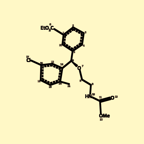 CCOC(=O)c1cccc([C@@H](OCCNC(=O)OC)c2cc(Cl)ccc2C)c1